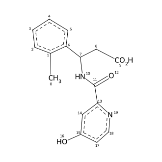 Cc1ccccc1C(CC(=O)O)NC(=O)c1cc(O)ccn1